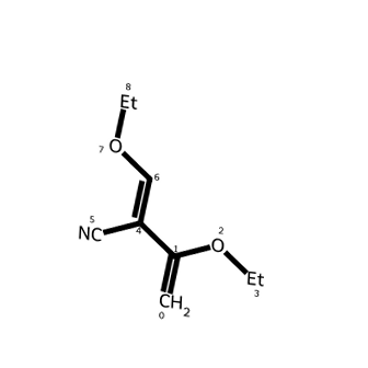 C=C(OCC)/C(C#N)=C/OCC